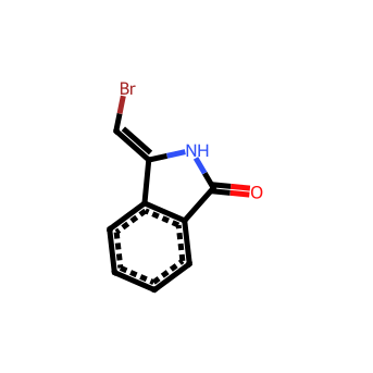 O=C1N/C(=C\Br)c2ccccc21